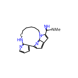 CNC(=N)c1cc2ccc3nc2n1CCCCCCNc1ncccc1-3